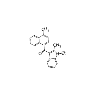 CCn1c(C)c(C(=O)c2ccc(C)c3ccccc23)c2ccccc21